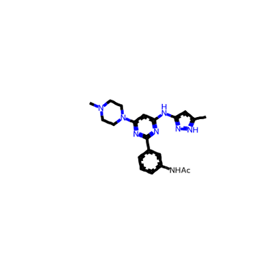 CC(=O)Nc1cccc(-c2nc(Nc3cc(C)[nH]n3)cc(N3CCN(C)CC3)n2)c1